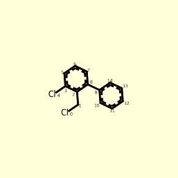 ClCc1c(Cl)cccc1-c1ccccc1